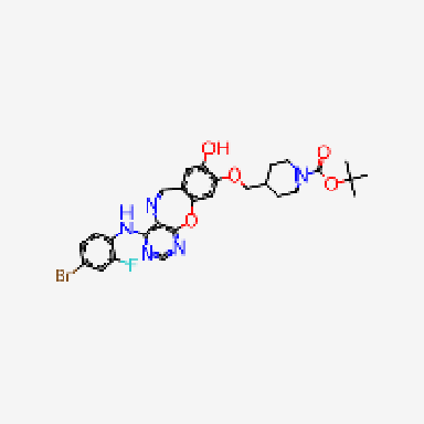 CC(C)(C)OC(=O)N1CCC(COc2cc3c(cc2O)C=Nc2c(Nc4ccc(Br)cc4F)ncnc2O3)CC1